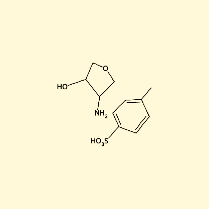 Cc1ccc(S(=O)(=O)O)cc1.NC1COCC1O